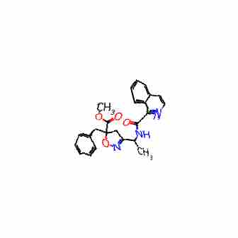 COC(=O)C1(Cc2ccccc2)CC(C(C)NC(=O)c2nccc3ccccc23)=NO1